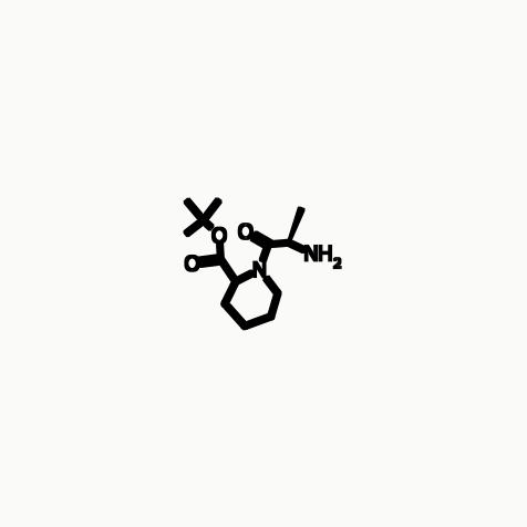 C[C@@H](N)C(=O)N1CCCCC1C(=O)OC(C)(C)C